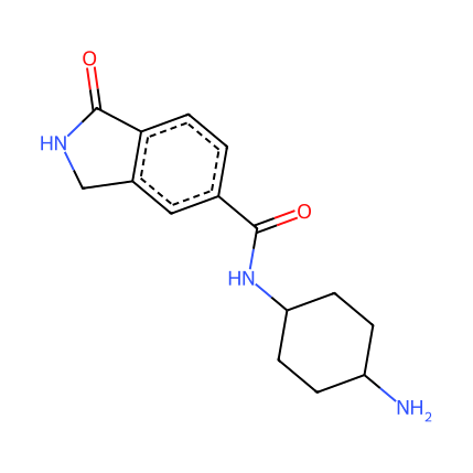 NC1CCC(NC(=O)c2ccc3c(c2)CNC3=O)CC1